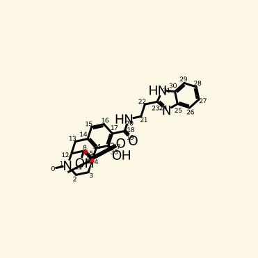 CN1CC[C@]23CC(=O)CCC2(O)C1Cc1ccc(C(=O)NCCc2nc4ccccc4[nH]2)c(O)c13